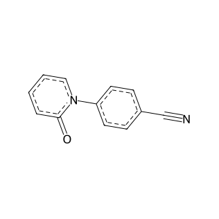 N#Cc1ccc(-n2ccccc2=O)cc1